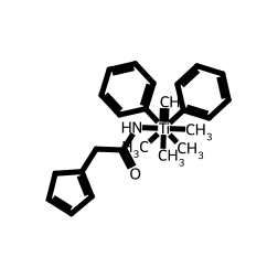 [CH2]=[Ti]([CH3])([CH3])([CH3])([CH3])([NH]C(=O)CC1=CC=CC1)([c]1ccccc1)[c]1ccccc1